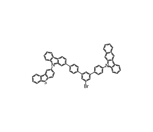 Brc1cc(-c2ccc(-c3ccc4c5ccccc5n(-c5ccc6sc7ccccc7c6c5)c4c3)cc2)cc(-c2ccc(-n3c4ccccc4c4cc5ccccc5cc43)cc2)c1